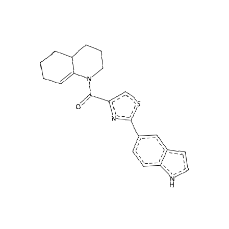 O=C(c1csc(-c2ccc3[nH]ccc3c2)n1)N1CCCC2CCCC=C21